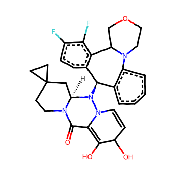 O=C1C2=C(O)C(O)C=CN2N([C@@H]2c3ccccc3N3CCOCC3c3c2ccc(F)c3F)[C@@H]2CC3(CCN12)CC3